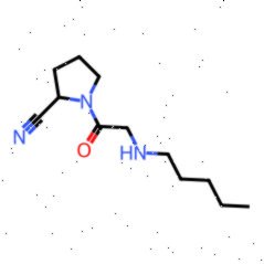 CCCCCNCC(=O)N1CCCC1C#N